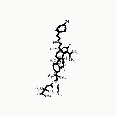 CCCC[C@H](OC(=O)CC(C)(C)C(=O)O)C(C)(C)[C@@H]1CC[C@]2(C)[C@H](CC[C@@H]3C4=C(C(C)C)C(=O)C[C@]4([C@H](O)CNCCc4ccc(O)cc4)CC[C@]32C)C1